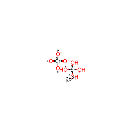 O[Si](O)(O)O.[O]=[Cr](=[O])([O-])[O-].[Pb+2]